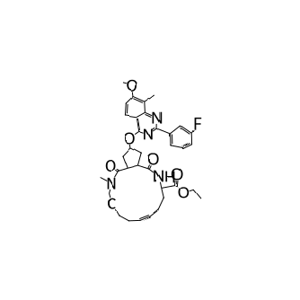 CCOC(=O)C1CCC=CCCCCN(C)C(=O)C2CC(Oc3nc(-c4cccc(F)c4)nc4c(C)c(OC)ccc34)CC2C(=O)N1